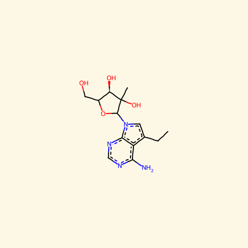 CCc1cn(C2OC(CO)[C@@H](O)C2(C)O)c2ncnc(N)c12